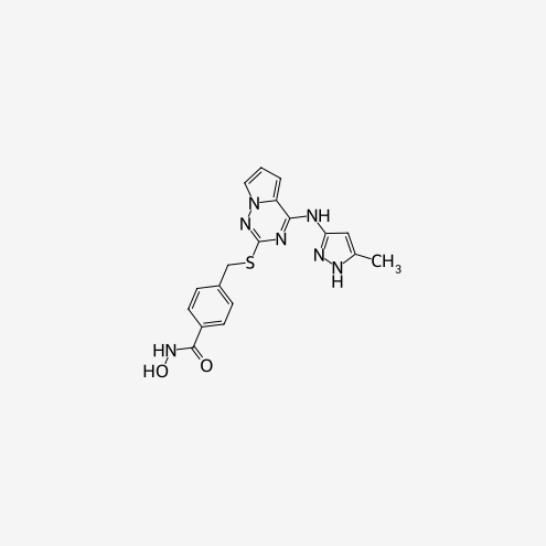 Cc1cc(Nc2nc(SCc3ccc(C(=O)NO)cc3)nn3cccc23)n[nH]1